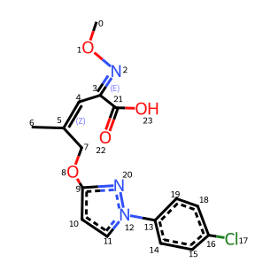 CO/N=C(\C=C(\C)COc1ccn(-c2ccc(Cl)cc2)n1)C(=O)O